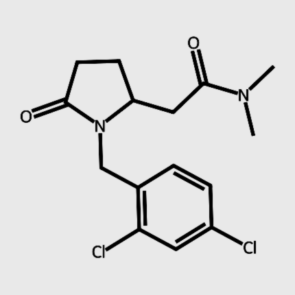 CN(C)C(=O)CC1CCC(=O)N1Cc1ccc(Cl)cc1Cl